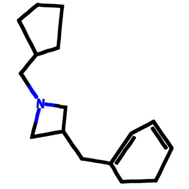 C1=CCCC(CC2CN(CC3CCCC3)C2)=C1